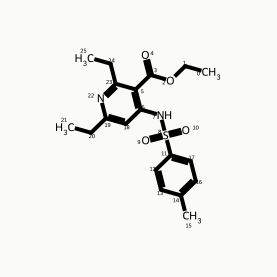 CCOC(=O)c1c(NS(=O)(=O)c2ccc(C)cc2)cc(CC)nc1CC